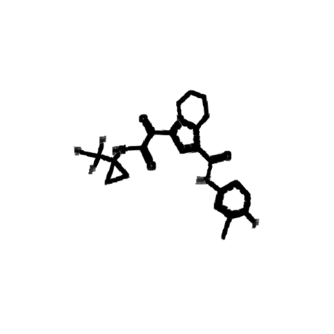 Cc1cc(NC(=O)c2cc(C(=O)C(=O)NC3(C(F)(F)F)CC3)n3c2CCCC3)ccc1F